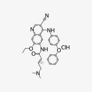 CCOc1cc2ncc(C#N)c(Nc3ccc(Oc4ccccc4)cc3)c2cc1NC(=O)/C=C/CN(C)C.Cl